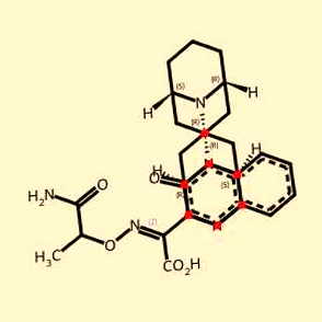 CC(O/N=C(\C(=O)O)c1nc2ccccc2n([C@H]2C[C@H]3CCC[C@@H](C2)N3[C@H]2C[C@@H]3CCC[C@@H](C3)C2)c1=O)C(N)=O